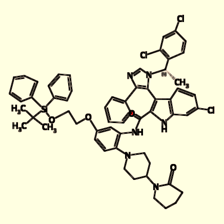 C[C@@H](c1ccc(Cl)cc1Cl)n1cnc(-c2ccccc2)c1-c1c(C(=O)Nc2cc(OCCO[Si](c3ccccc3)(c3ccccc3)C(C)(C)C)ccc2N2CCC(N3CCCCC3=O)CC2)[nH]c2cc(Cl)ccc12